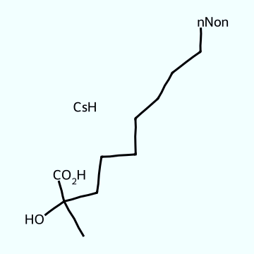 CCCCCCCCCCCCCCCCC(C)(O)C(=O)O.[CsH]